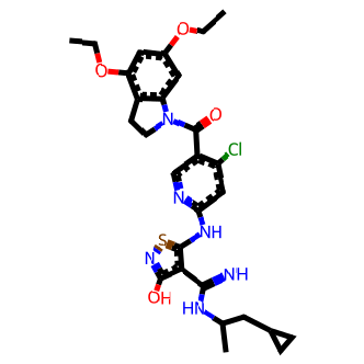 CCOc1cc(OCC)c2c(c1)N(C(=O)c1cnc(Nc3snc(O)c3C(=N)NC(C)CC3CC3)cc1Cl)CC2